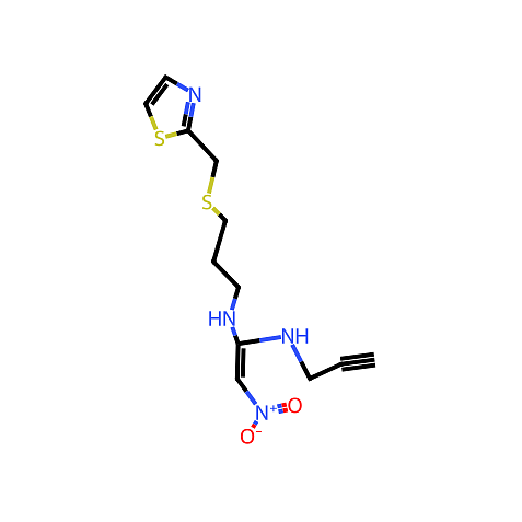 C#CCNC(=C[N+](=O)[O-])NCCCSCc1nccs1